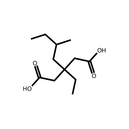 CCC(C)CC(CC)(CC(=O)O)CC(=O)O